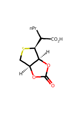 CCCC(C(=O)O)[C@@H]1SC[C@@H]2OC(=O)O[C@@H]21